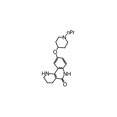 CCCN1CCC(Oc2ccc3[nH]c(=O)c4c(c3c2)NCCC4)CC1